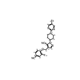 CCc1cnc(N2CCC(n3ncc(COc4ccc(C#N)cc4F)c3C#N)CC2)nc1